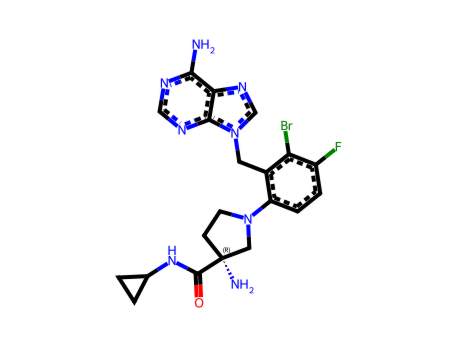 Nc1ncnc2c1ncn2Cc1c(N2CC[C@](N)(C(=O)NC3CC3)C2)ccc(F)c1Br